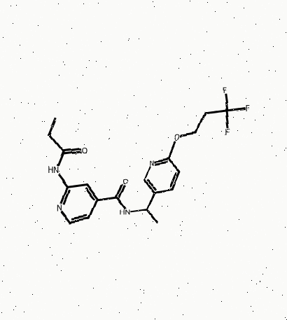 CCC(=O)Nc1cc(C(=O)NC(C)c2ccc(OCCC(F)(F)F)nc2)ccn1